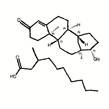 CCCCCCCC(C)CC(=O)O.C[C@]12CC[C@H]3[C@@H](CCC4=CC(=O)CC[C@@]43C)[C@@H]1CC[C@@H]2O